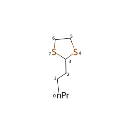 CCCCCC1SCCS1